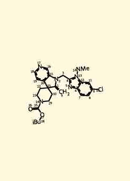 C=C1N(Cc2nc3ccc(Cl)cc3n2NC)c2cnccc2C12CCN(C(=O)OC(C)CC)CC2